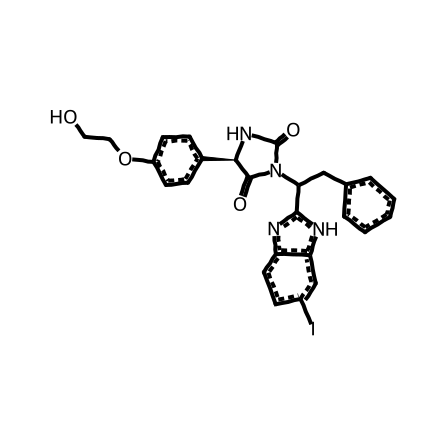 O=C1N[C@H](c2ccc(OCCO)cc2)C(=O)N1C(Cc1ccccc1)c1nc2ccc(I)cc2[nH]1